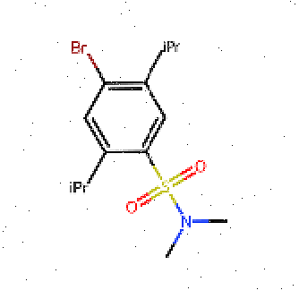 CC(C)c1cc(S(=O)(=O)N(C)C)c(C(C)C)cc1Br